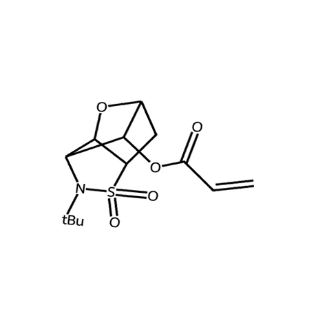 C=CC(=O)OC1C2CC3C(O2)C1N(C(C)(C)C)S3(=O)=O